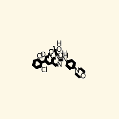 C[C@@](O)(CO)On1c(=O)c(-c2c(Cl)cccc2Cl)cc2cnc(Nc3ccc(N4CCOCC4)cc3)nc21